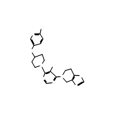 COc1ccc(OC2CCN(c3ncnc(N4CCc5scnc5C4)c3C)CC2)cn1